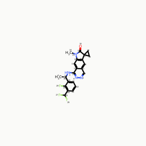 C[C@@H](Nc1nncc2cc3c(cc12)N(C)C(=O)C31CC1)c1cccc(C(F)F)c1F